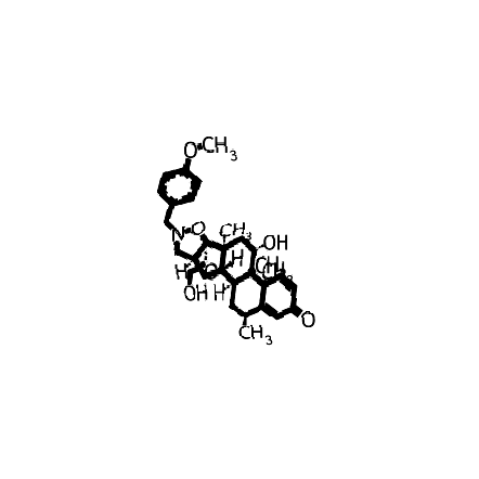 COc1ccc(CN2C[C@@H]3C[C@H]4[C@@H]5C[C@H](C)C6=CC(=O)C=C[C@]6(C)[C@@]5(C)[C@@H](O)C[C@]4(C)[C@]3(C(=O)CO)O2)cc1